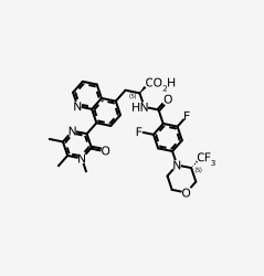 Cc1nc(-c2ccc(C[C@H](NC(=O)c3c(F)cc(N4CCOC[C@H]4C(F)(F)F)cc3F)C(=O)O)c3cccnc23)c(=O)n(C)c1C